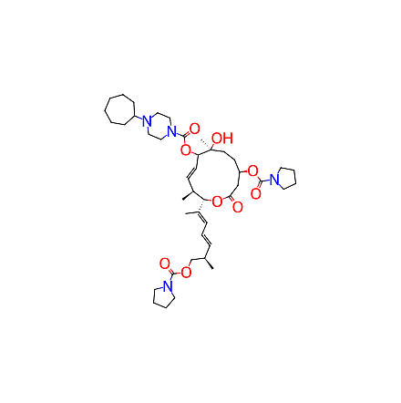 C/C(=C\C=C\[C@@H](C)COC(=O)N1CCCC1)[C@H]1OC(=O)C[C@H](OC(=O)N2CCCC2)CC[C@](C)(O)C(OC(=O)N2CCN(C3CCCCCC3)CC2)/C=C/[C@@H]1C